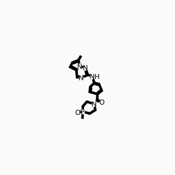 Cc1ccc2cnc(Nc3ccc(C(=O)N4CCP(C)(=O)CC4)cc3)nn12